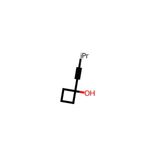 CC(C)C#CC1(O)CCC1